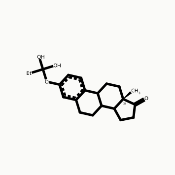 CCC(O)(O)Oc1ccc2c(c1)CCC1C2CC[C@]2(C)C(=O)CCC12